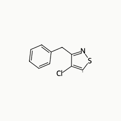 Clc1[c]snc1Cc1ccccc1